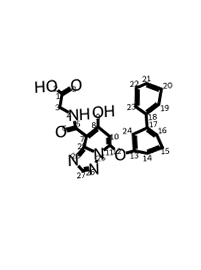 O=C(O)CNC(=O)c1c(O)cc(Oc2cccc(-c3ccccc3)c2)n2ncnc12